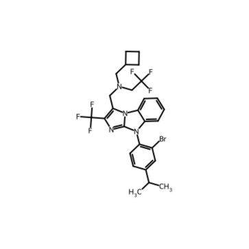 CC(C)c1ccc(-n2c3ccccc3n3c(CN(CC4CCC4)CC(F)(F)F)c(C(F)(F)F)nc23)c(Br)c1